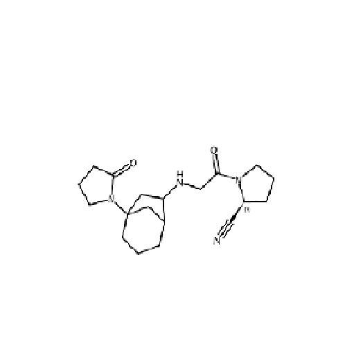 N#C[C@@H]1CCCN1C(=O)CNC1CC2(N3CCCC3=O)CCCC1C2